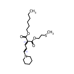 CCCCCCOC(=O)/C(=C/C=C/N1CCCCC1)C(=O)OCCSC